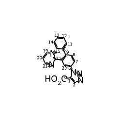 O=C(O)c1cnnn1-c1ccc(-c2ccccc2)c(-c2ncccn2)c1